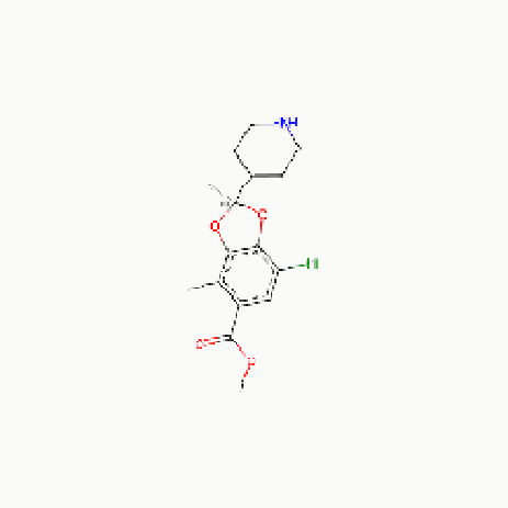 COC(=O)c1cc(Cl)c2c(c1C)O[C@@](C)(C1CCNCC1)O2